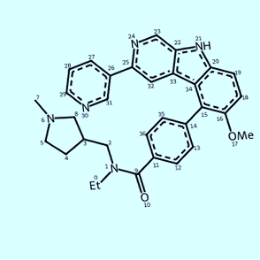 CCN(CC1CCN(C)C1)C(=O)c1ccc(-c2c(OC)ccc3[nH]c4cnc(-c5cccnc5)cc4c23)cc1